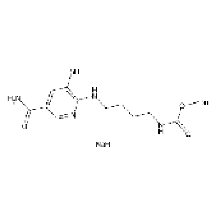 CC(C)(C)OC(=O)NCCCCNc1ncc(C(N)=O)cc1S.[NaH]